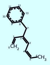 C=C/C(=C\C=C/C)Cc1ccccc1